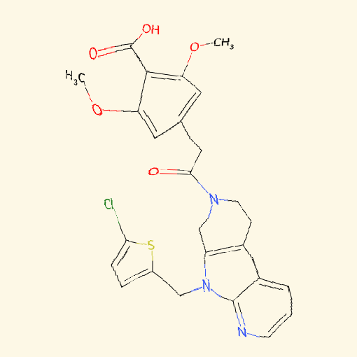 COc1cc(CC(=O)N2CCc3c(n(Cc4ccc(Cl)s4)c4ncccc34)C2)cc(OC)c1C(=O)O